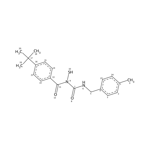 Cc1ccc(CNC(=O)N(S)C(=O)c2ccc(C(C)(C)C)cc2)cc1